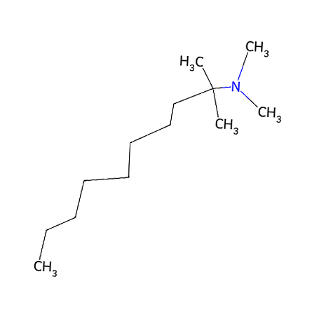 CCCCCCCCC(C)(C)N(C)C